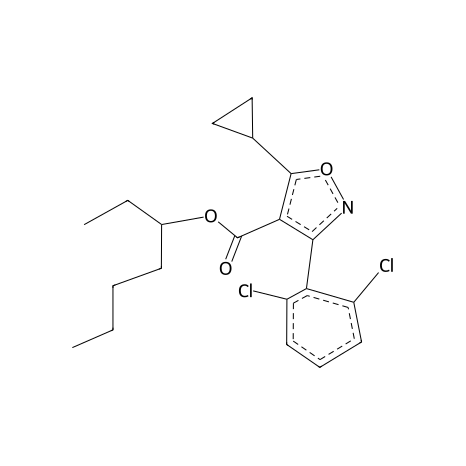 CCCCC(CC)OC(=O)c1c(-c2c(Cl)cccc2Cl)noc1C1CC1